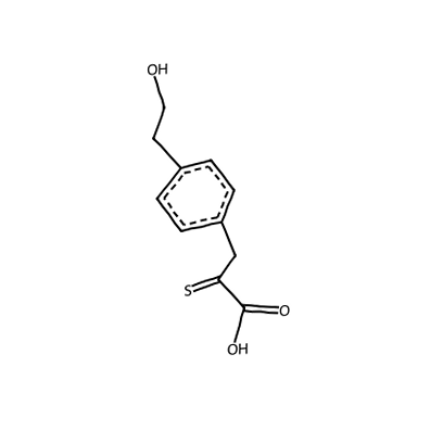 O=C(O)C(=S)Cc1ccc(CCO)cc1